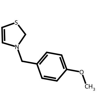 COc1ccc(CN2C=CSC2)cc1